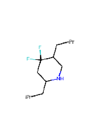 CC(C)CC1CC(F)(F)C(CC(C)C)CN1